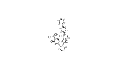 CC(C)n1nc(-c2c(-c3ccccc3)nn3ccc(N4CCN(c5ccccc5)CC4)cc23)ccc1=O